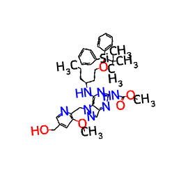 CCC[C@@H](CCO[Si](c1ccccc1)(c1ccccc1)C(C)(C)C)Nc1nc(NC(=O)OC)nc2cnn(Cc3ncc(CO)cc3OC)c12